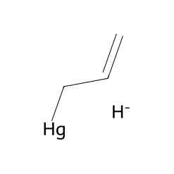 C=C[CH2][Hg].[H-]